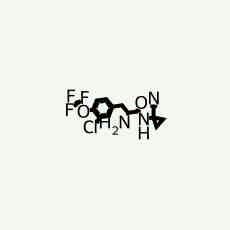 N#CC1(NC(=O)[C@@H](N)Cc2ccc(OC(F)(F)F)c(Cl)c2)CC1